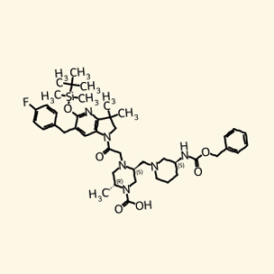 C[C@@H]1CN(CC(=O)N2CC(C)(C)c3nc(O[Si](C)(C)C(C)(C)C)c(Cc4ccc(F)cc4)cc32)[C@@H](CN2CCC[C@H](NC(=O)OCc3ccccc3)C2)CN1C(=O)O